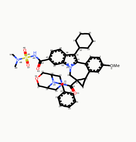 COc1ccc2c(c1)C1CC1(C(=O)N1CC3COCC(C1)N3Cc1ccccc1)Cn1c-2c(C2CCCCC2)c2ccc(C(=O)NS(=O)(=O)N(C)C)cc21